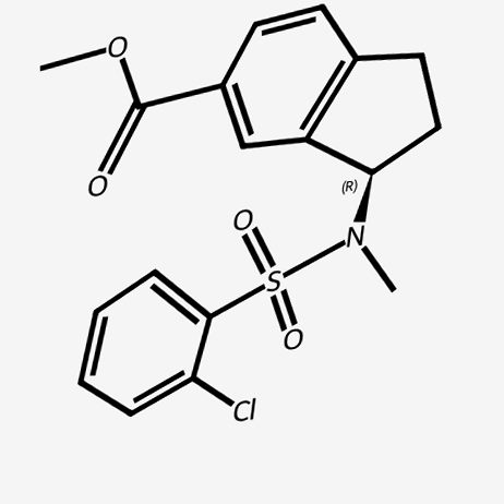 COC(=O)c1ccc2c(c1)[C@H](N(C)S(=O)(=O)c1ccccc1Cl)CC2